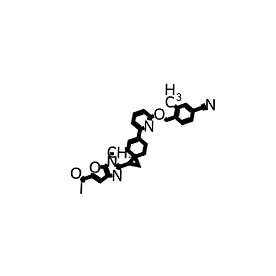 Cc1cc(C#N)ccc1COc1cccc(C2=CCC3(CC2)CC3c2nc3cc(C(=O)I)oc3n2C)n1